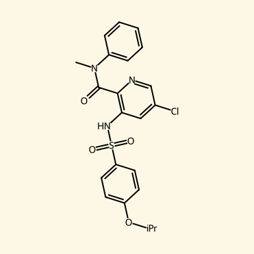 CC(C)Oc1ccc(S(=O)(=O)Nc2cc(Cl)cnc2C(=O)N(C)c2ccccc2)cc1